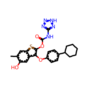 Cc1cc2sc(OC(=O)Nc3nn[nH]n3)c(Oc3ccc(C4CCCCC4)cc3)c2cc1O